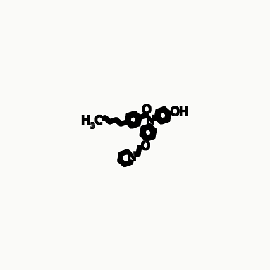 CCCCCc1ccc(C(=O)N(c2ccc(O)cc2)c2ccc(OCCN3CCCCC3)cc2)cc1